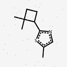 Cc1cnc(C2CCC2(C)C)s1